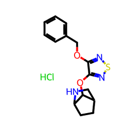 Cl.c1ccc(COc2nsnc2OC2C3CCC2NC3)cc1